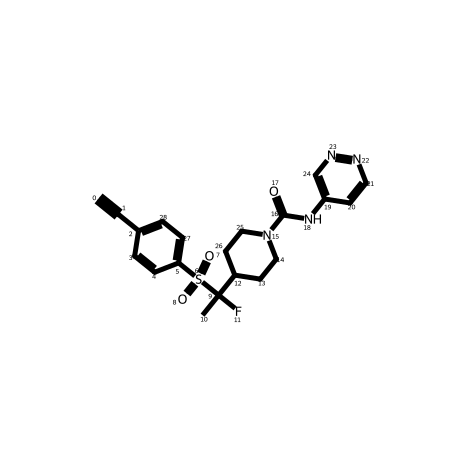 C#Cc1ccc(S(=O)(=O)C(C)(F)C2CCN(C(=O)Nc3ccnnc3)CC2)cc1